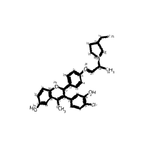 CC1=C(c2ccc(Cl)c(O)c2)C(c2ccc(OCC(C)N3CCC(CF)C3)cc2)Oc2ccc(O)cc21